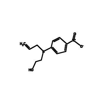 C=CCN(CCO)c1ccc([N+](=O)[O-])cc1